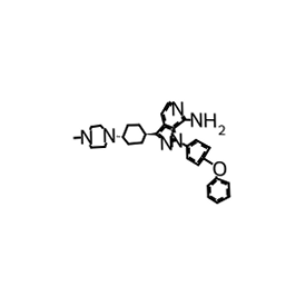 CN1CCN([C@H]2CC[C@H](c3nn(-c4ccc(Oc5ccccc5)cc4)c4c(N)nccc43)CC2)CC1